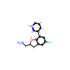 NCC1Cc2cc(F)cc(-c3cccnc3)c2O1